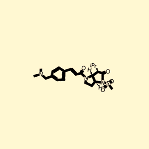 CC(C)[C@H]1C(=O)N(S(C)(=O)=O)[C@H]2CCN(C(=O)C=Cc3ccc(CN(C)C)cc3)[C@H]12